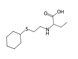 CCC(NCCSC1CCCCC1)C(=O)O